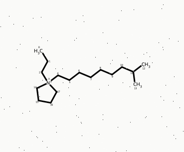 CCC[N+]1(CCCCCCCC(C)C)CCCC1